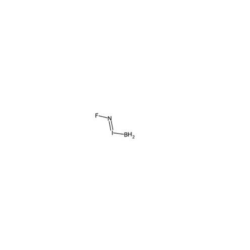 B/I=N/F